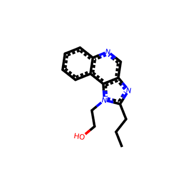 CCCc1nc2cnc3ccccc3c2n1CCO